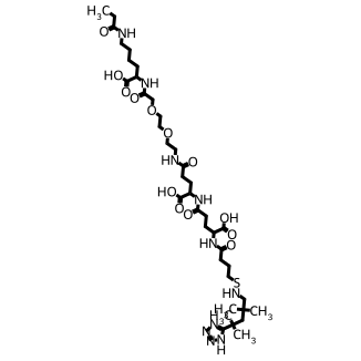 CCC(=O)NCCCCC(NC(=O)COCCOCCNC(=O)CCC(NC(=O)CCC(NC(=O)CCCSNCC(C)(C)CC(C)(C)c1nnn[nH]1)C(=O)O)C(=O)O)C(=O)O